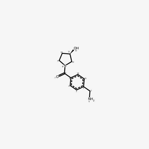 NCc1ccc(C(=O)N2CC[C@@H](O)C2)cc1